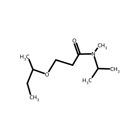 CCC(C)OCCC(=O)N(C)C(C)C